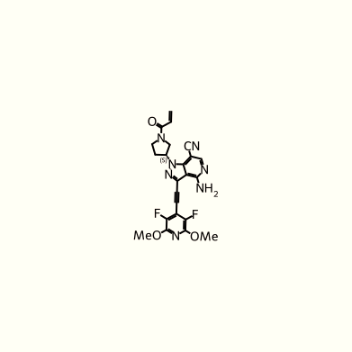 C=CC(=O)N1CC[C@H](n2nc(C#Cc3c(F)c(OC)nc(OC)c3F)c3c(N)ncc(C#N)c32)C1